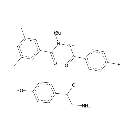 CCc1ccc(C(=O)NN(C(=O)c2cc(C)cc(C)c2)C(C)(C)C)cc1.NCC(O)c1ccc(O)cc1